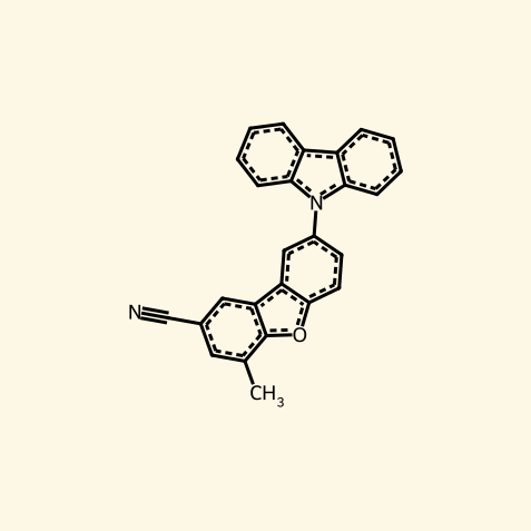 Cc1cc(C#N)cc2c1oc1ccc(-n3c4ccccc4c4ccccc43)cc12